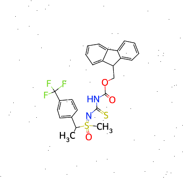 CC(c1ccc(C(F)(F)F)cc1)S(C)(=O)=NC(=S)NC(=O)OCC1c2ccccc2-c2ccccc21